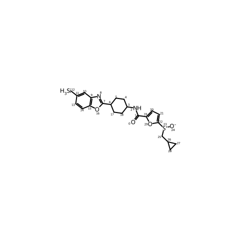 O=C(NC1CCC(c2nc3cc([SiH3])ccc3o2)CC1)c1ccc([S+]([O-])CC2CC2)o1